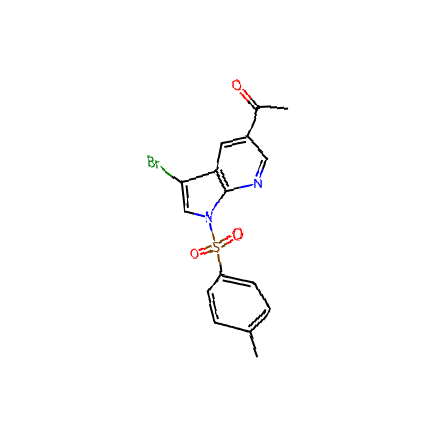 CC(=O)c1cnc2c(c1)c(Br)cn2S(=O)(=O)c1ccc(C)cc1